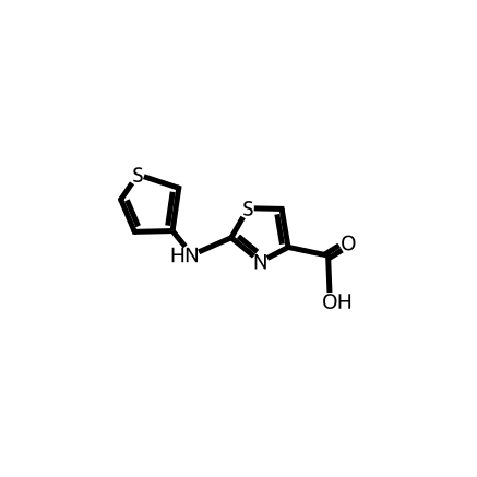 O=C(O)c1csc(Nc2ccsc2)n1